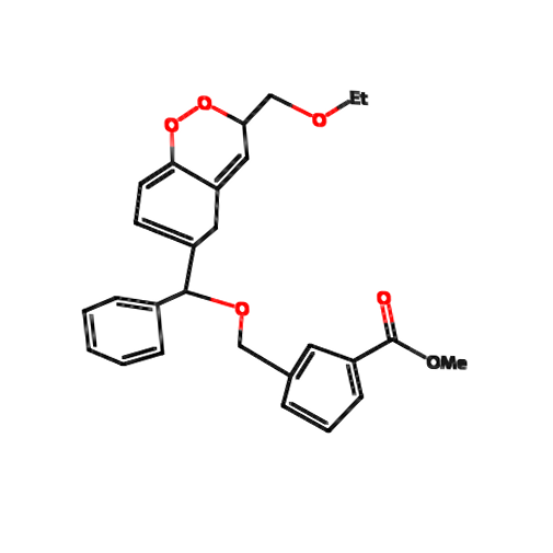 CCOCC1C=C2CC(C(OCc3cccc(C(=O)OC)c3)c3ccccc3)=CC=C2OO1